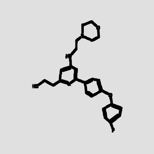 OCCc1cc(NCCN2CCOCC2)cc(-c2ccc(Oc3ccc(F)cc3)cc2)n1